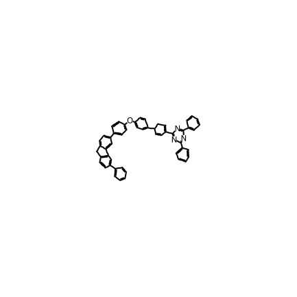 C1=CC(c2ccc(Oc3ccc(-c4ccc5c(c4)-c4cc(-c6ccccc6)ccc4C5)cc3)cc2)CC=C1c1nc(-c2ccccc2)nc(-c2ccccc2)n1